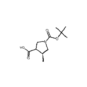 C[C@@H]1CN(C(=O)OC(C)(C)C)CC1C(=O)O